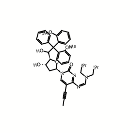 CC#Cc1cn([C@H]2C[C@H](O)[C@@H](C(O)C(c3ccccc3)(c3ccccc3OC)c3ccccc3OC)O2)c(=O)nc1/N=C\N(CC(C)C)CC(C)C